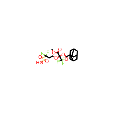 COC(=O)C(OCCC(F)(F)S(=O)(=O)O)(OC(=O)C12CC3CC(CC(C3)C1)C2)C(F)(F)F